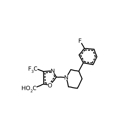 O=C(O)c1oc(N2CCCC(c3cccc(F)c3)C2)nc1C(F)(F)F